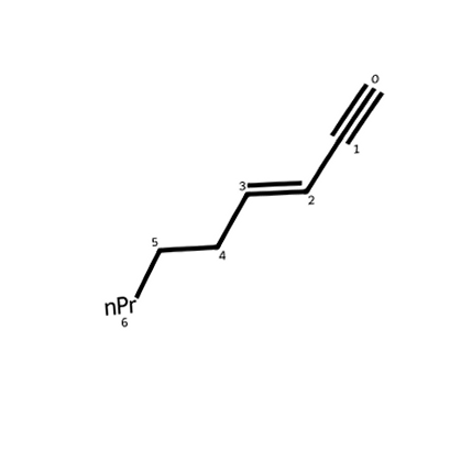 C#CC=CCCCC[CH2]